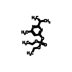 CCOP(=O)(OCC)Oc1cc(C)nc(C(C)C)n1